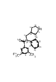 O=C(c1cc(C(F)(F)F)cc(C(F)(F)F)c1)N(CC1CCNCC1)c1ccccc1